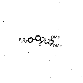 COc1cc(OC)nc(Cn2ncc3ccc(-c4ccc(OC(F)(F)F)cc4)cc3c2=O)n1